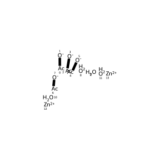 CC(=O)[O-].CC(=O)[O-].CC(=O)[O-].CC(=O)[O-].O.O.O.O.[Zn+2].[Zn+2]